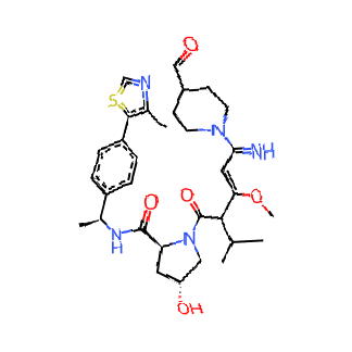 CO/C(=C\C(=N)N1CCC(C=O)CC1)C(C(=O)N1C[C@H](O)C[C@H]1C(=O)N[C@@H](C)c1ccc(-c2scnc2C)cc1)C(C)C